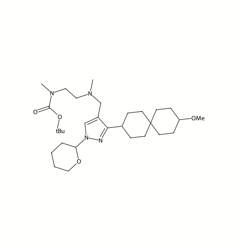 COC1CCC2(CC1)CCC(c1nn(C3CCCCO3)cc1CN(C)CCN(C)C(=O)OC(C)(C)C)CC2